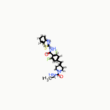 CCNC(=O)N1CCC(=Cc2cc(F)c(C(=O)Nc3nc4ccccc4s3)c(F)c2)CC1